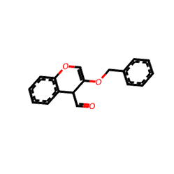 O=CC1C(OCc2ccccc2)=COc2ccccc21